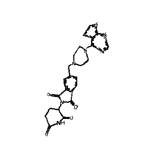 O=C1CCC(N2C(=O)c3ccc(CN4CCN(c5ncnc6sccc56)CC4)cc3C2=O)C(=O)N1